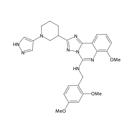 COc1ccc(CNc2nc3c(OC)cccc3c3nc(C4CCCN(c5cn[nH]c5)C4)nn23)c(OC)c1